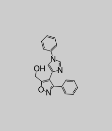 OCc1onc(-c2ccccc2)c1-c1cn(-c2ccccc2)cn1